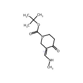 CN/C=C1/CN(C(=O)OC(C)(C)C)CCC1=O